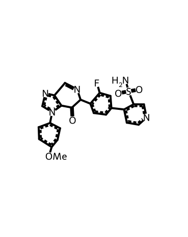 COc1ccc(-n2cnc3c2C(=O)C(c2ccc(-c4ccncc4S(N)(=O)=O)cc2F)N=C3)cc1